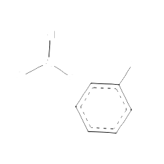 FC(F)(F)c1cc[c]cc1.[Cl][Al]([Cl])[Cl]